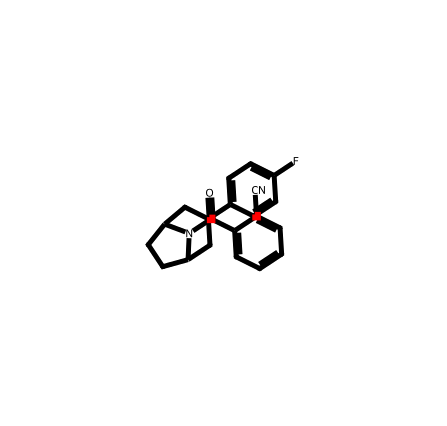 N#Cc1ccccc1C(=O)N1C2CCC1CC(c1ccc(F)cc1)C2